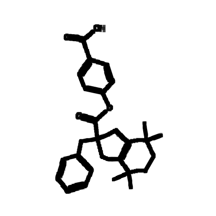 CC1(C)CCC(C)(C)C2=C1CC(Cc1ccccc1)(C(=O)Oc1ccc(C(=O)O)cc1)C2